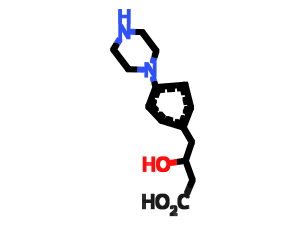 O=C(O)CC(O)Cc1ccc(N2CCNCC2)cc1